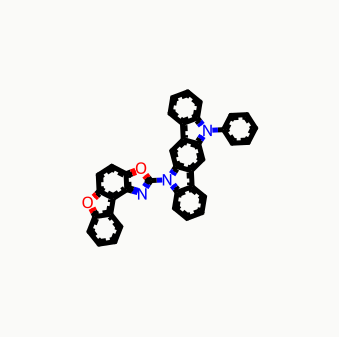 c1ccc(-n2c3ccccc3c3cc4c(cc32)c2ccccc2n4-c2nc3c(ccc4oc5ccccc5c43)o2)cc1